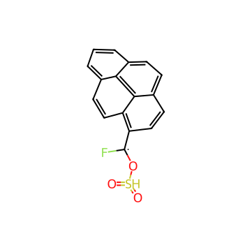 O=[SH](=O)O[C](F)c1ccc2ccc3cccc4ccc1c2c34